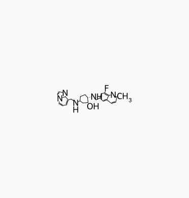 Cc1ccc2cc(CN[C@H]3CC[C@H](NCc4cccn5ccnc45)C[C@H]3O)cc(F)c2n1